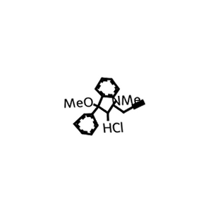 C#CCC(NC)C(C)C(OC)(c1ccccc1)c1ccccc1.Cl